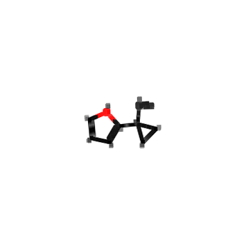 COC1(c2ccco2)CC1